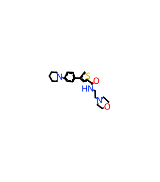 O=C(NCCN1CCOCC1)c1cc(-c2ccc(N3CCCCC3)cc2)cs1